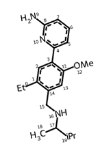 CCc1cc(-c2cccc(N)n2)c(OC)cc1CNC(C)C(C)C